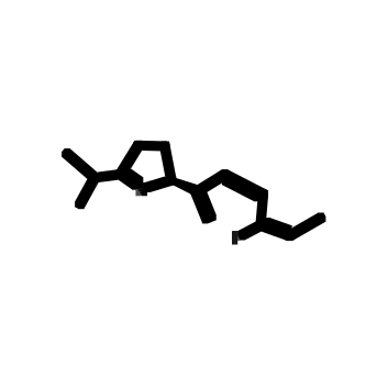 C=C(/C=C\C(F)=C/C)[C@@H]1CCC(C(C)C)=N1